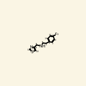 Fc1ccc(CCNCc2cscn2)cc1